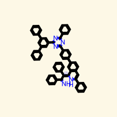 N=C(/C(=C1\NC(c2ccccc2)=Cc2ccc(-c3ccc(-c4nc(-c5ccccc5)nc(-c5cc(-c6ccccc6)cc(-c6ccccc6)c5)n4)cc3)cc21)c1ccccc1)c1ccccc1